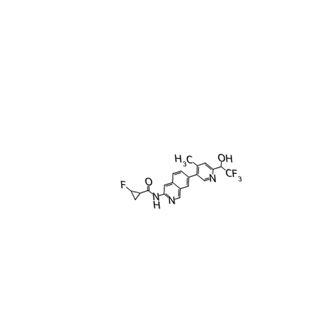 Cc1cc(C(O)C(F)(F)F)ncc1-c1ccc2cc(NC(=O)C3CC3F)ncc2c1